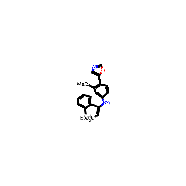 CCOC(=O)C=C(Nc1ccc(-c2cnco2)c(OC)c1)c1ccccc1C